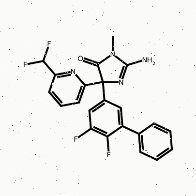 CN1C(=O)C(c2cc(F)c(F)c(-c3ccccc3)c2)(c2cccc(C(F)F)n2)N=C1N